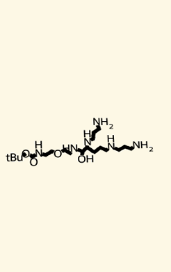 CC(C)(C)OC(=O)NCCOCCNC(O)C(CCCNCCCN)NCCCN